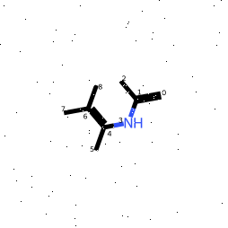 C=C(C)NC(C)=C(C)C